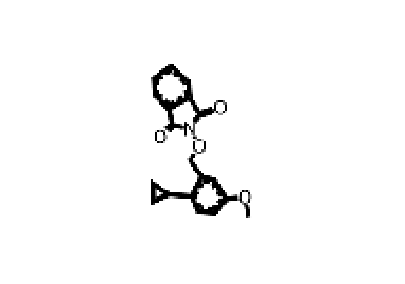 COc1ccc(C2CC2)c(CON2C(=O)c3ccccc3C2=O)c1